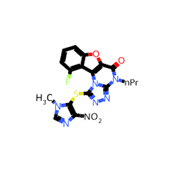 CCCn1c(=O)c2oc3cccc(F)c3c2n2c(Sc3c([N+](=O)[O-])ncn3C)nnc12